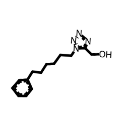 OCc1nnnn1CCCCCCc1ccccc1